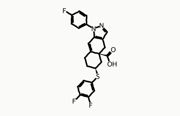 O=C(O)[C@]12Cc3cnn(-c4ccc(F)cc4)c3C=C1CC[C@H](Sc1ccc(F)c(F)c1)C2